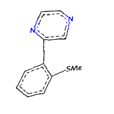 CSc1ccccc1-c1cnccn1